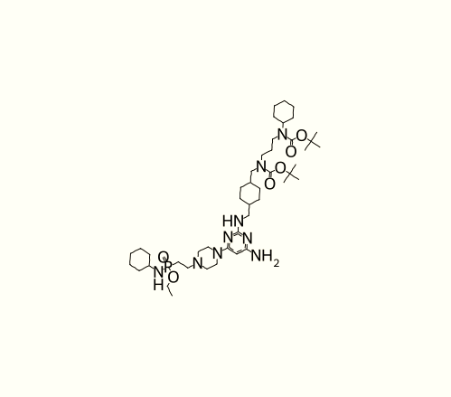 CCOP(=O)(CCN1CCN(c2cc(N)nc(NCC3CCC(CN(CCCN(C(=O)OC(C)(C)C)C4CCCCC4)C(=O)OC(C)(C)C)CC3)n2)CC1)NC1CCCCC1